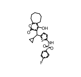 O=c1oc2c(c(O)c1C(c1ccc(NS(=O)(=O)c3ccc(F)cc3)s1)C1CC1)CCCCCC2